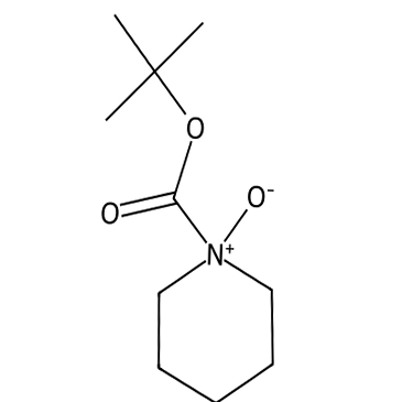 CC(C)(C)OC(=O)[N+]1([O-])CCCCC1